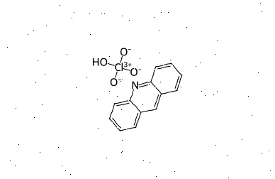 [O-][Cl+3]([O-])([O-])O.c1ccc2nc3ccccc3cc2c1